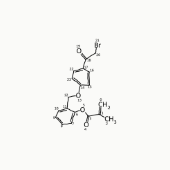 C=C(C)C(=O)Oc1ccccc1COc1ccc(C(=O)CBr)cc1